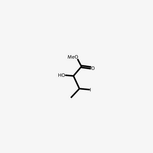 COC(=O)C(O)C(C)I